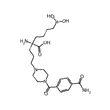 NC(=O)c1ccc(C(=O)N2CCN(CCCC(N)(CCCCB(O)O)C(=O)O)CC2)cc1